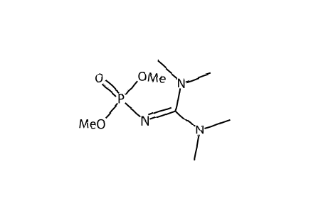 COP(=O)(N=C(N(C)C)N(C)C)OC